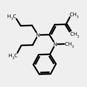 C=C(C)/C=C(/N(CCC)CCC)N(C)c1ccccc1